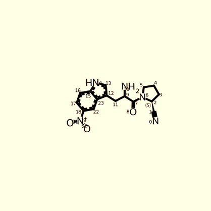 N#C[C@@H]1CCCN1C(=O)C(N)Cc1c[nH]c2ccc([N+](=O)[O-])cc12